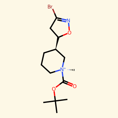 CC(C)(C)OC(=O)[N@@+]1(C)CCC[C@@H](C2CC(Br)=NO2)C1